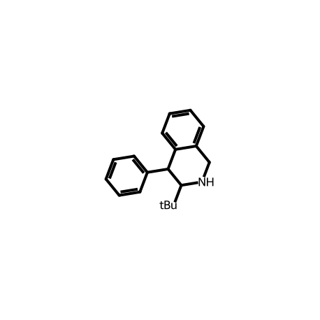 CC(C)(C)C1NCc2ccccc2C1c1ccccc1